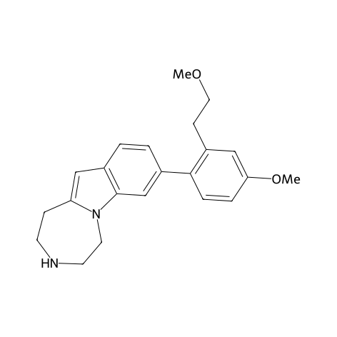 COCCc1cc(OC)ccc1-c1ccc2cc3n(c2c1)CCNCC3